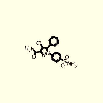 NC(=O)c1nn(-c2ccc(S(N)(=O)=O)cc2)c(-c2ccccc2)c1Cl